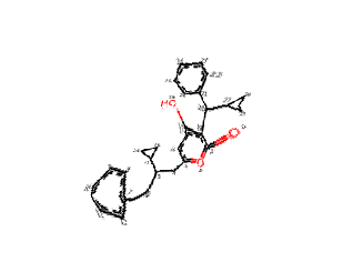 O=c1oc(CC(Cc2ccccc2)C2CC2)cc(O)c1C(c1ccccc1)C1CC1